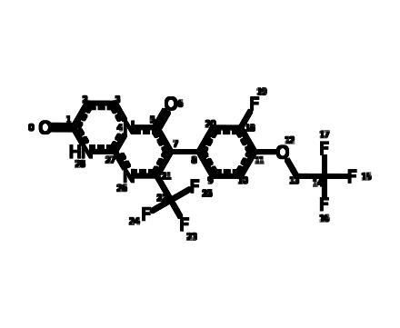 O=c1ccn2c(=O)c(-c3ccc(OCC(F)(F)F)c(F)c3)c(C(F)(F)F)nc2[nH]1